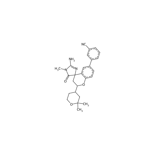 CN1C(=O)C2(CC(C3CCOC(C)(C)C3)Oc3ccc(-c4cccc(C#N)c4)cc32)N=C1N